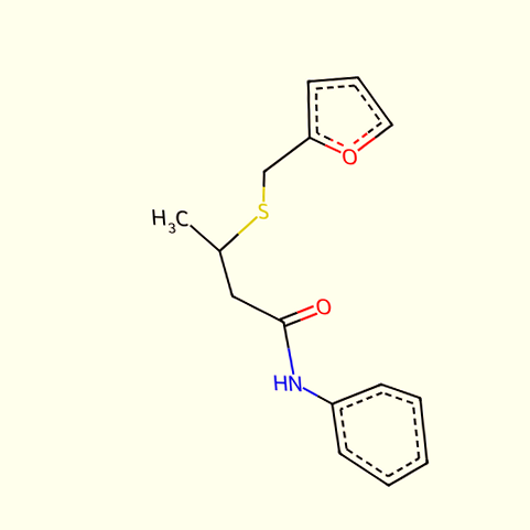 CC(CC(=O)Nc1ccccc1)SCc1ccco1